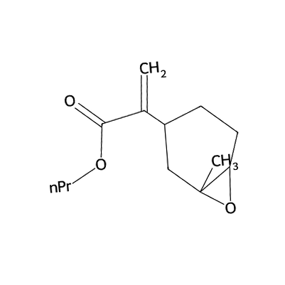 C=C(C(=O)OCCC)C1CCC2OC2(C)C1